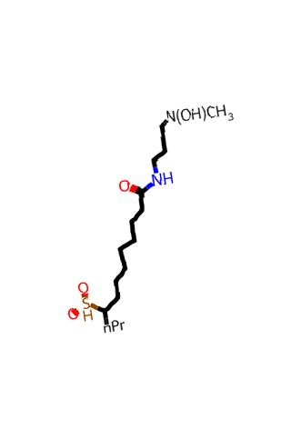 CCCC(CCCCCCCC(=O)NCCCN(C)O)[SH](=O)=O